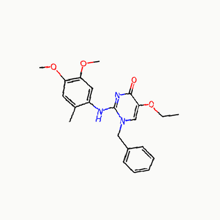 CCOc1cn(Cc2ccccc2)c(Nc2cc(OC)c(OC)cc2C)nc1=O